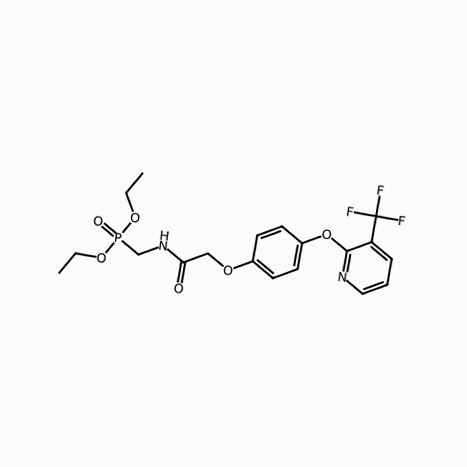 CCOP(=O)(CNC(=O)COc1ccc(Oc2ncccc2C(F)(F)F)cc1)OCC